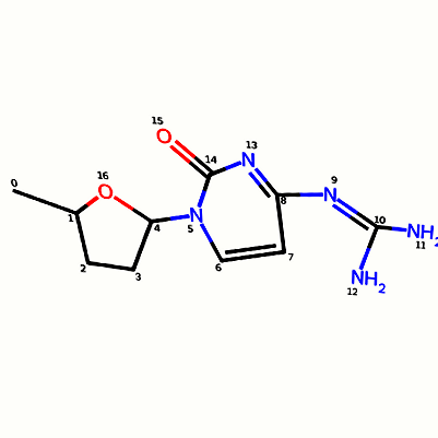 CC1CCC(n2ccc(N=C(N)N)nc2=O)O1